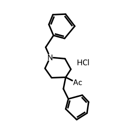 CC(=O)C1(Cc2ccccc2)CCN(Cc2ccccc2)CC1.Cl